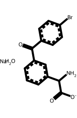 NC(C(=O)[O-])c1cccc(C(=O)c2ccc(Br)cc2)c1.O.[Na+]